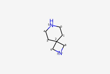 C1CC2(CCN1)C[N]C2